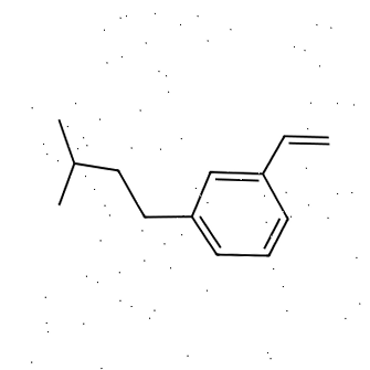 C=Cc1cccc(CCC(C)C)c1